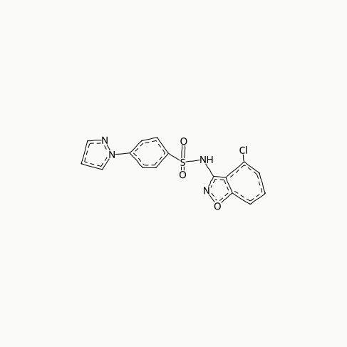 O=S(=O)(Nc1noc2cccc(Cl)c12)c1ccc(-n2cccn2)cc1